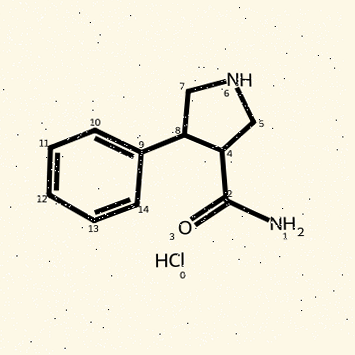 Cl.NC(=O)C1CNCC1c1ccccc1